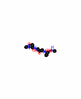 O=C1c2cc(N=Nc3c(O)c(CONc4ccccc4)cc4ccccc34)ccc2-c2ccc(N=Nc3c(O)cc4c5c3cccc5c(=O)n3c5ccccc5nc43)cc21